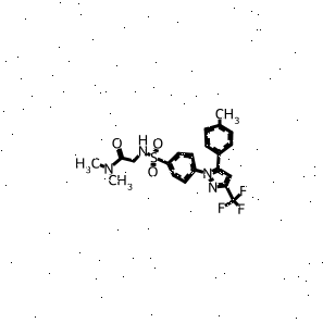 Cc1ccc(-c2cc(C(F)(F)F)nn2-c2ccc(S(=O)(=O)NCC(=O)N(C)C)cc2)cc1